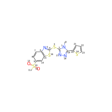 Cn1c(Sc2nc3ccc(S(C)(=O)=O)cc3s2)nnc1-c1cccs1